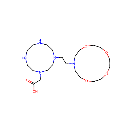 O=C(O)CN1CCNCCNCCN(CCN2CCOCCOCCOCCOCC2)CC1